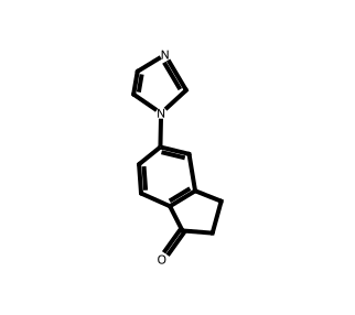 O=C1CCc2cc(-n3ccnc3)ccc21